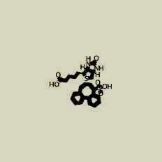 O=C(O)CCCC[C@@H]1SC[C@@H]2NC(=O)N[C@@H]21.O=S(=O)(O)C1=C/C=C\c2ccccc2-c2ccccc21